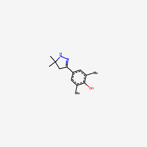 CC1(C)CC(c2cc(C(C)(C)C)c(O)c(C(C)(C)C)c2)=NN1